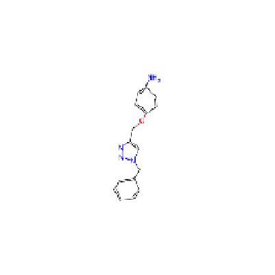 Nc1ccc(OCc2cn(Cc3ccccc3)nn2)cc1